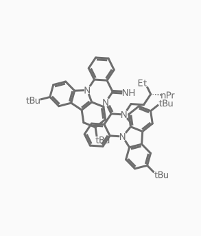 CCC[C@@H](CC)CCN(C)/C(=N\C(=N)c1ccccc1-n1c2c(c3cc(C(C)(C)C)ccc31)CC(C(C)(C)C)C=C2)c1ccccc1-n1c2ccc(C(C)(C)C)cc2c2cc(C(C)(C)C)ccc21